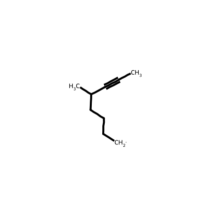 [CH2]CCCC(C)C#CC